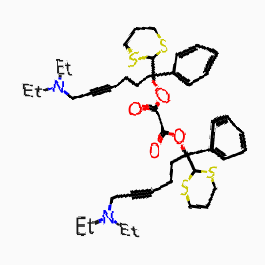 CCN(CC)CC#CCCC(OC(=O)C(=O)OC(CCC#CCN(CC)CC)(c1ccccc1)C1SCCCS1)(c1ccccc1)C1SCCCS1